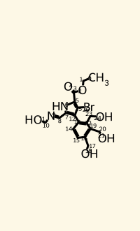 CCOC(=O)c1[nH]c(C=NCO)c(-c2ccc(CO)c(CO)c2CO)c1Br